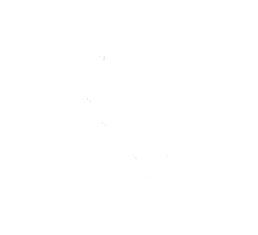 CN(C(=O)O)C1CCCN(c2ccc(N)cn2)C1